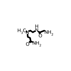 CN(CCNC(=O)CN)CCC(N)=O